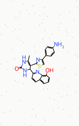 CC1=C(c2nc(-c3ccc(N)cc3)cs2)C(c2ccc3cccc(O)c3n2)NC(=O)N1